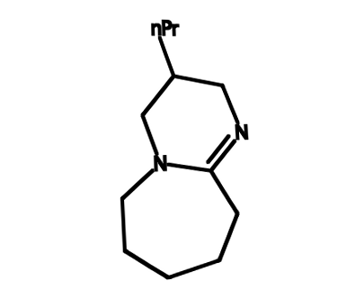 CCCC1CN=C2CCCCCN2C1